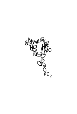 C[C@H](NC(=O)CN=[N+]=[N-])C(=O)N[C@@H](C)C(=O)Nc1ccc(COC(=O)Oc2ccc([N+](=O)[O-])cc2)c(CN(C)C(=O)COP(=O)([O-])OCC[N+](C)(C)C)c1